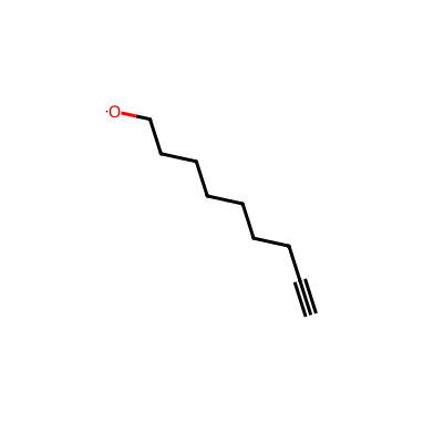 C#CCCCCCCC[O]